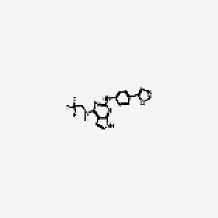 FC(F)(F)CNc1nc(Nc2ccc(-c3cnco3)cc2)nc2[nH]ccc12